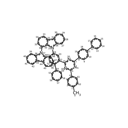 Cc1ccc(-c2nc(-c3ccc(-c4ccccc4)cc3)nc(-c3cc(-n4c5ccccc5c5cccc(-n6c7ccccc7c7ccccc76)c54)ccc3-c3ccccc3)n2)cc1